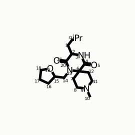 CC(C)CC1NC(=O)C2(CCN(C)CC2)N(CC2CCCO2)C1=O